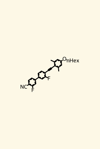 CCCCCCOc1cc(C)c(C#Cc2ccc(-c3ccc(C#N)c(F)c3)cc2F)c(C)c1